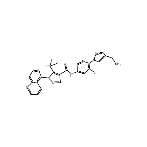 NCc1cnn(-c2ncc(NC(=O)c3cnn(-c4cccc5ncccc45)c3C(F)(F)F)cc2Cl)c1